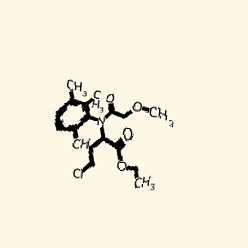 CCOC(=O)C(CCCl)N(C(=O)COC)c1c(C)ccc(C)c1C